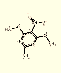 COc1nc(N)nc(OC)c1[N+](=O)[O-]